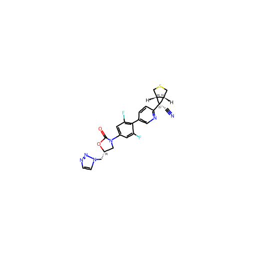 N#C[C@]1(c2ccc(-c3c(F)cc(N4C[C@H](Cn5ccnn5)OC4=O)cc3F)cn2)[C@@H]2CSC[C@@H]21